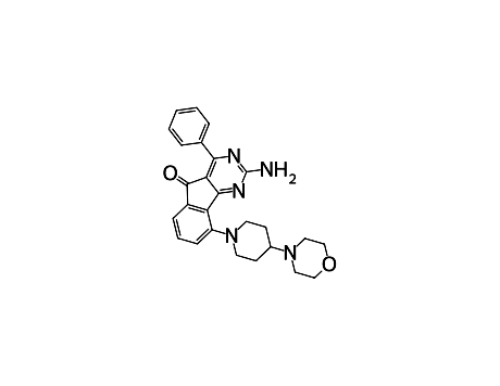 Nc1nc(-c2ccccc2)c2c(n1)-c1c(cccc1N1CCC(N3CCOCC3)CC1)C2=O